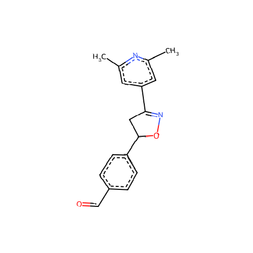 Cc1cc(C2=NOC(c3ccc(C=O)cc3)C2)cc(C)n1